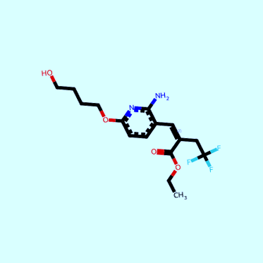 CCOC(=O)/C(=C\c1ccc(OCCCCO)nc1N)CC(F)(F)F